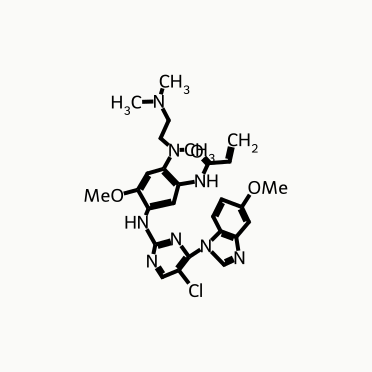 C=CC(=O)Nc1cc(Nc2ncc(Cl)c(-n3cnc4cc(OC)ccc43)n2)c(OC)cc1N(C)CCN(C)C